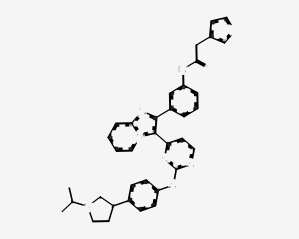 CC(C)N1CCC(c2ccc(Nc3nccc(-c4c(-c5cccc(NC(=O)Cc6ccsc6)c5)nc5ccccn45)n3)cc2)C1